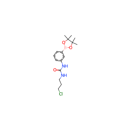 CC1(C)OB(c2cccc(NC(=O)NCCCCl)c2)OC1(C)C